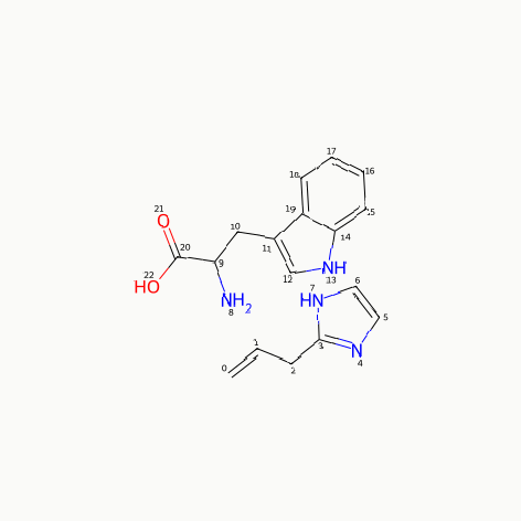 C=CCc1ncc[nH]1.NC(Cc1c[nH]c2ccccc12)C(=O)O